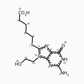 Nc1nc2c(nc(SCCCCC(=O)O)n2CCO)c(=O)[nH]1